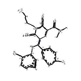 CN(C)C(=O)C1=C/C(=C(/Nc2ccccc2Cl)c2ccc(Cl)cc2)C(=N)N(CCC(F)(F)F)C1=O